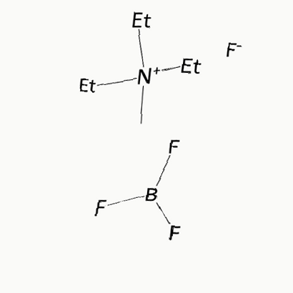 CC[N+](C)(CC)CC.FB(F)F.[F-]